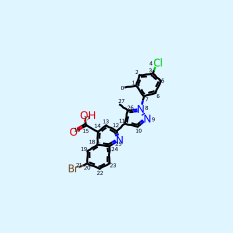 Cc1cc(Cl)ccc1-n1ncc(-c2cc(C(=O)O)c3cc(Br)ccc3n2)c1C